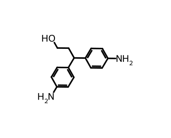 Nc1ccc(C(CCO)c2ccc(N)cc2)cc1